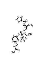 C[C@@H](CC[C@@H]1[C@H]2Cc3cccc(OCC(=O)O)c3C[C@H]2C[C@H]1O)OC(=O)C1CCOC1